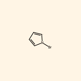 Brn1[c]ccc1